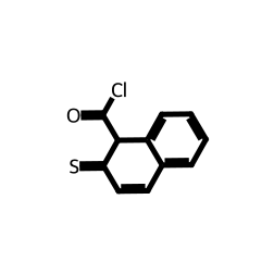 O=C(Cl)C1C(=S)C=Cc2ccccc21